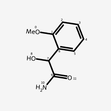 COc1ccccc1C(O)C(N)=O